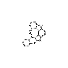 c1ccc2c(c1)cc1sc3ccc4oc5cccc6sc2c1c3c4c56